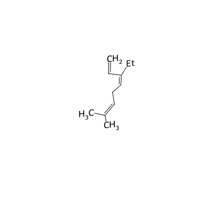 C=C/C(=C\CC=C(C)C)CC